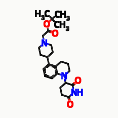 CC(C)(C)OC(=O)CN1CCC(c2cccc3c2CCCN3[C@@H]2CCC(=O)NC2=O)CC1